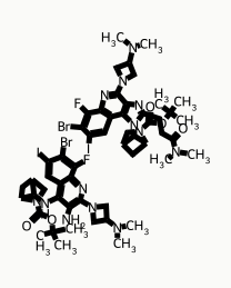 CN(C)C(=O)CCc1nc2c(N3CC(N(C)C)C3)nc3c(F)c(Br)c(I)cc3c2n1C1C2CC1N(C(=O)OC(C)(C)C)C2.CN(C)C1CN(c2nc3c(F)c(Br)c(I)cc3c(NC3C4CC3N(C(=O)OC(C)(C)C)C4)c2N)C1